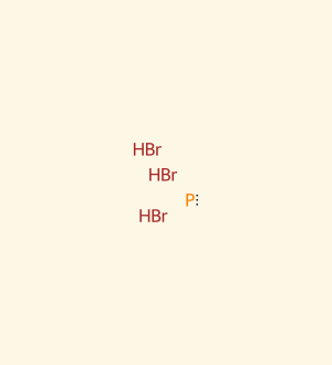 Br.Br.Br.[P]